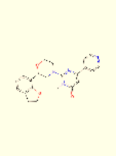 Cn1c(N2CCOC(c3cccc4c3OCC4)C2)nc(-c2ccncc2)cc1=O